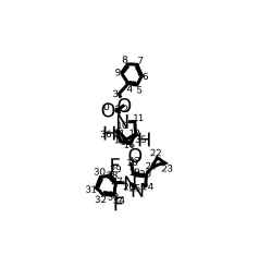 O=C(OCc1ccccc1)N1C[C@@H]2C[C@H]1C[C@H]2OCc1c(C2CC2)cnn1-c1c(F)cccc1F